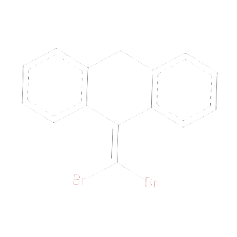 BrC(Br)=C1c2ccccc2Cc2ccccc21